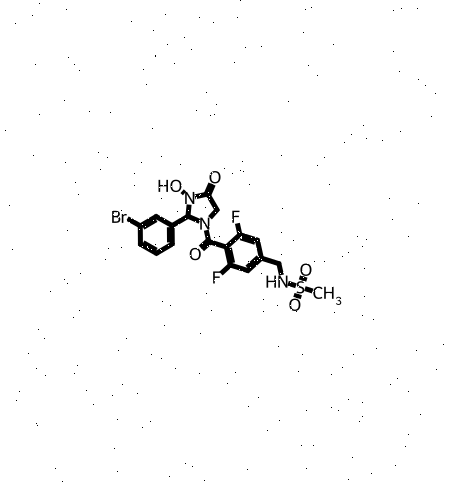 CS(=O)(=O)NCc1cc(F)c(C(=O)N2CC(=O)N(O)C2c2cccc(Br)c2)c(F)c1